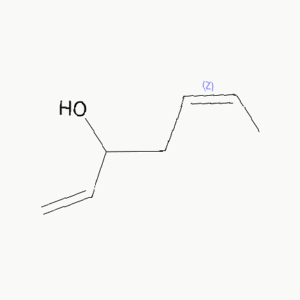 C=CC(O)C/C=C\C